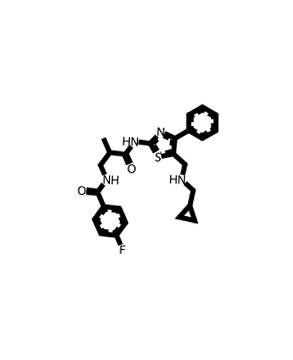 CC(CNC(=O)c1ccc(F)cc1)C(=O)Nc1nc(-c2ccccc2)c(CNCC2CC2)s1